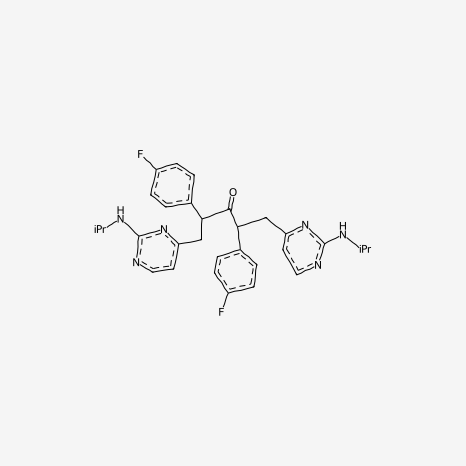 CC(C)Nc1nccc(CC(C(=O)C(Cc2ccnc(NC(C)C)n2)c2ccc(F)cc2)c2ccc(F)cc2)n1